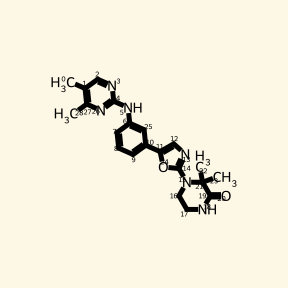 Cc1cnc(Nc2cccc(-c3cnc(N4CCNC(=O)C4(C)C)o3)c2)nc1C